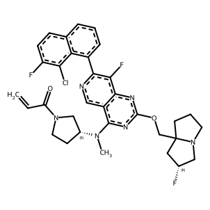 C=CC(=O)N1CC[C@@H](N(C)c2nc(OCC34CCCN3C[C@H](F)C4)nc3c(F)c(-c4cccc5ccc(F)c(Cl)c45)ncc23)C1